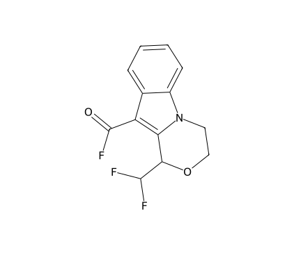 O=C(F)c1c2n(c3ccccc13)CCOC2C(F)F